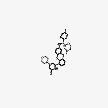 Cc1ccc(C(Nc2ccc3c(c2)Sc2cccc(-c4cc(N5CCOCC5)cc(=O)[nH]4)c2S3)[C@@H]2CN(C)CCO2)nc1